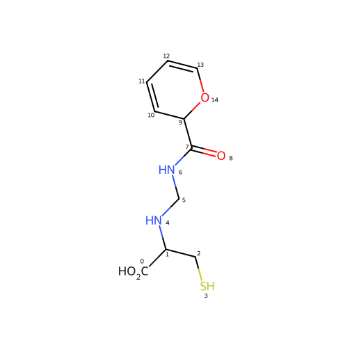 O=C(O)C(CS)NCNC(=O)C1C=CC=CO1